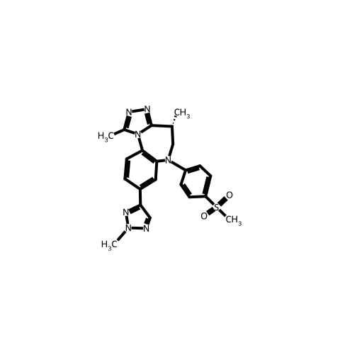 Cc1nnc2n1-c1ccc(-c3cnn(C)n3)cc1N(c1ccc(S(C)(=O)=O)cc1)C[C@H]2C